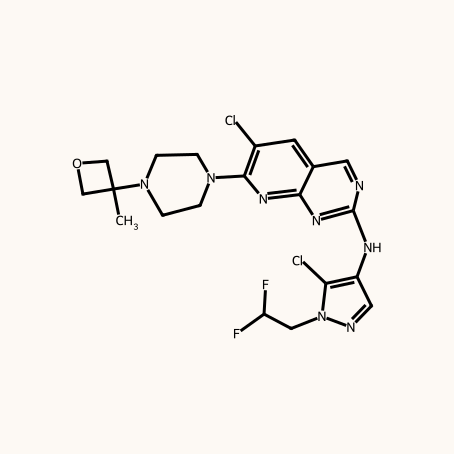 CC1(N2CCN(c3nc4nc(Nc5cnn(CC(F)F)c5Cl)ncc4cc3Cl)CC2)COC1